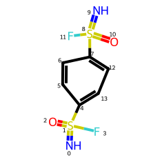 N=S(=O)(F)c1ccc(S(=N)(=O)F)cc1